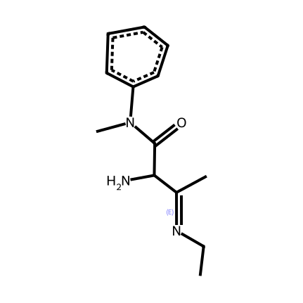 CC/N=C(\C)C(N)C(=O)N(C)c1ccccc1